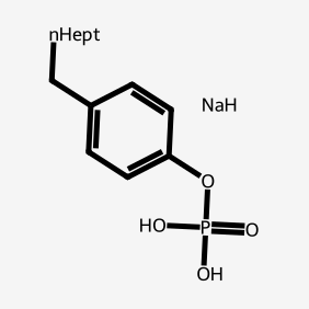 CCCCCCCCc1ccc(OP(=O)(O)O)cc1.[NaH]